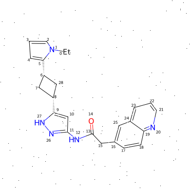 CCn1cccc1[C@H]1C[C@@H](c2cc(NC(=O)Cc3ccc4ncccc4c3)n[nH]2)C1